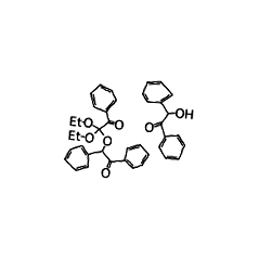 CCOC(OCC)(OC(C(=O)c1ccccc1)c1ccccc1)C(=O)c1ccccc1.O=C(c1ccccc1)C(O)c1ccccc1